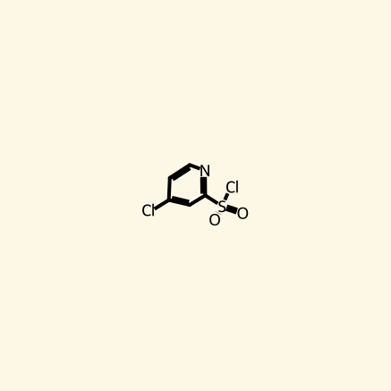 O=S(=O)(Cl)c1cc(Cl)ccn1